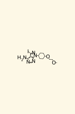 COCCOC1CCC(n2nc(I)c3c(N)ncnc32)CC1